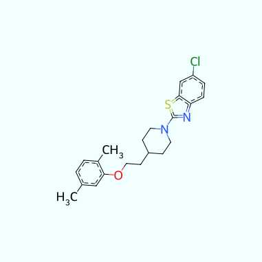 Cc1ccc(C)c(OCCC2CCN(c3nc4ccc(Cl)cc4s3)CC2)c1